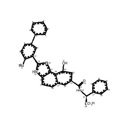 CC(C)(C)c1ccc(-c2ccccc2)cc1-c1nc2c(ccc3cc(C(=O)N[C@H](C(=O)O)c4ccccc4)cc(O)c32)[nH]1